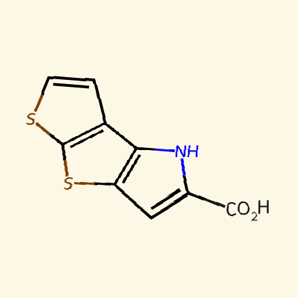 O=C(O)c1cc2sc3sccc3c2[nH]1